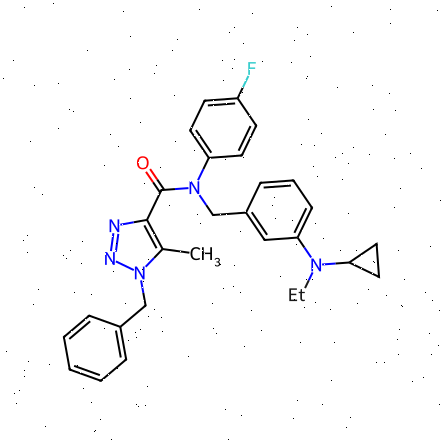 CCN(c1cccc(CN(C(=O)c2nnn(Cc3ccccc3)c2C)c2ccc(F)cc2)c1)C1CC1